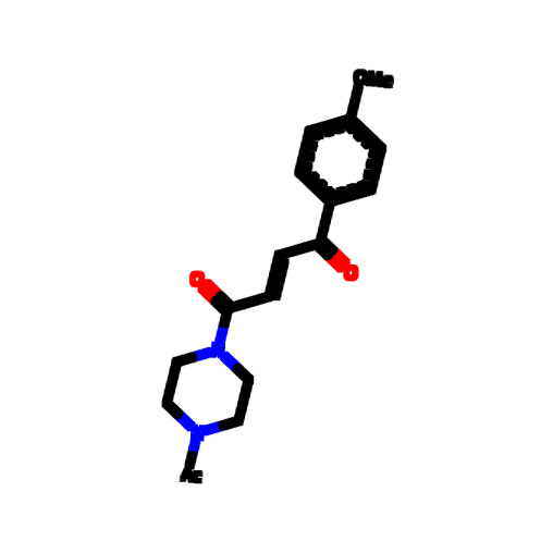 COc1ccc(C(=O)/C=C/C(=O)N2CCN(C(C)=O)CC2)cc1